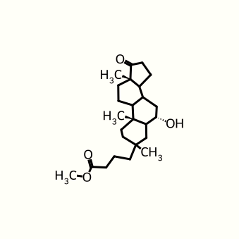 COC(=O)CCCC1(C)CC[C@]2(C)C3CC[C@]4(C)C(=O)CCC4C3C[C@H](O)C2C1